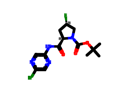 CC(C)(C)OC(=O)N1C[C@@H](F)C[C@@H]1C(=O)Nc1cnc(Br)cn1